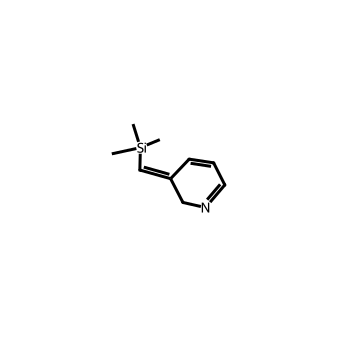 C[Si](C)(C)C=C1C=CC=NC1